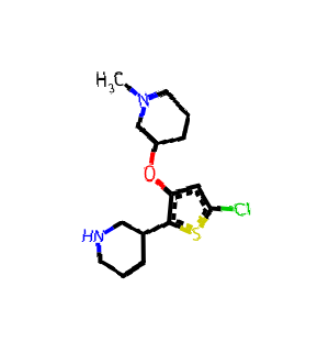 CN1CCCC(Oc2cc(Cl)sc2C2CCCNC2)C1